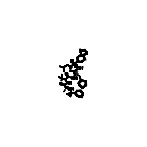 CC(C)CN(C[C@@H](O)[C@H](Cc1ccccc1)NC(=O)C(NC(=O)[C@@H](C)NC1(c2ccccc2)CC1)C(C)(C)C)S(=O)(=O)c1ccc2ncsc2c1